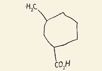 [CH2]C1CCCC(C(=O)O)C1